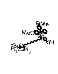 COc1ccc(C(OC[C@@H]2C[C@@H](O)CN2C(=O)CCCCCCCCCCC(=O)OC(C)(C)C(C)(C)C)(c2ccccc2)c2ccc(OC)cc2)cc1